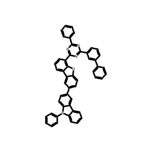 c1ccc(-c2cccc(-c3nc(-c4ccccc4)nc(-c4cccc5c4oc4ccc(-c6ccc7c(c6)c6ccccc6n7-c6ccccc6)cc45)n3)c2)cc1